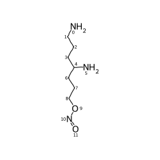 NCCCC(N)CCCON=O